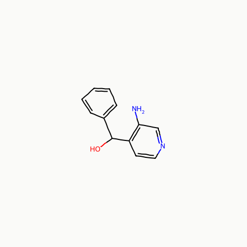 Nc1cnccc1C(O)c1ccccc1